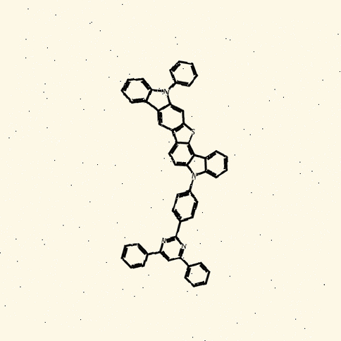 c1ccc(-c2cc(-c3ccccc3)nc(-c3ccc(-n4c5ccccc5c5c6sc7cc8c(cc7c6ccc54)c4ccccc4n8-c4ccccc4)cc3)n2)cc1